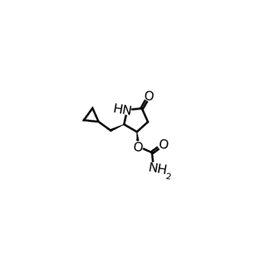 NC(=O)O[C@@H]1CC(=O)N[C@@H]1CC1CC1